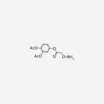 CC(=O)Oc1ccc(OC(=O)CON)cc1OC(C)=O